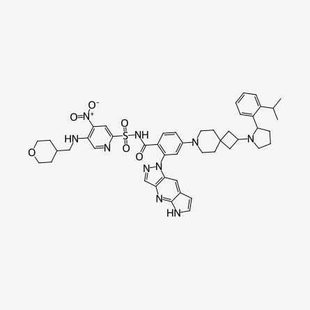 CC(C)c1ccccc1C1CCCN1C1CC2(CCN(c3ccc(C(=O)NS(=O)(=O)c4cc([N+](=O)[O-])c(NCC5CCOCC5)cn4)c(-n4ncc5nc6[nH]ccc6cc54)c3)CC2)C1